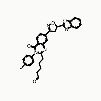 O=CCCCCc1nc2cc(C3=NOC(c4nc5ccccc5o4)C3)ccc2c(=O)n1-c1ccc(F)cc1